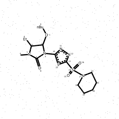 CCCCOC1C(CC)N(C)C(=O)N1c1nnc(S(=O)(=O)N2CCCCC2)s1